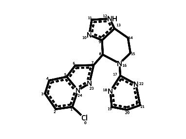 Clc1cccc2cc(C3c4nc[nH]c4CCN3c3ncccn3)nn12